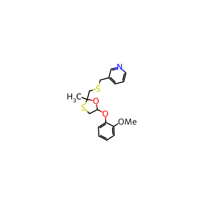 COc1ccccc1OC1CSC(C)(CSCc2cccnc2)O1